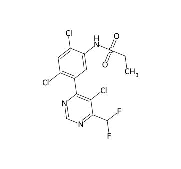 CCS(=O)(=O)Nc1cc(-c2ncnc(C(F)F)c2Cl)c(Cl)cc1Cl